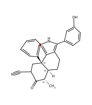 C[C@@H]1C(=O)C(C#N)C[C@]2(c3ccccc3)c3n[nH]c(-c4cccc(O)c4)c3CC[C@@H]12